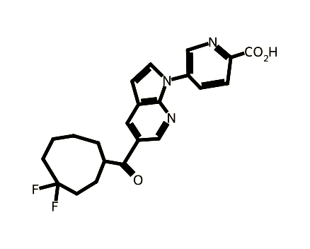 O=C(O)c1ccc(-n2ccc3cc(C(=O)C4CCCCC(F)(F)CC4)cnc32)cn1